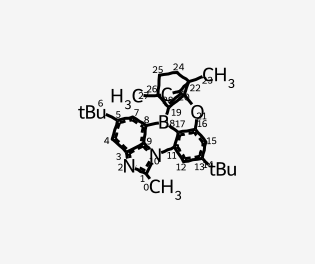 Cc1nc2cc(C(C)(C)C)cc3c2n1-c1cc(C(C)(C)C)cc2c1B3C1=C(O2)C2(C)CCC1(C)CC2